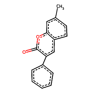 Cc1ccc2cc(-c3ccccc3)c(=O)oc2c1